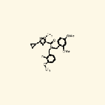 COc1ccc(CN(Cc2cccc(OC(F)(F)F)c2F)C(=O)c2cc(C3CC3)nn2C)c(OC)c1